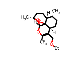 CCOCC1=C(C(F)(F)F)O[C@@H]2O[C@]3(C)CC[C@H]4[C@H](C)CC[C@@H]1C24OO3